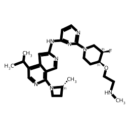 CNCCO[C@H]1CCN(c2nccc(Nc3cc4c(C(C)C)cnc(N5CC[C@H]5C)c4cn3)n2)C[C@H]1F